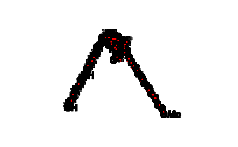 COCCOCCOCCOCCOCCOCCOCCOCCOCCOCCOCCOCCNS(=O)(=O)C1=CC2C(S1)c1cc3c(cc1=[N+](C)C2(C)C)Oc1cc2c(cc1C=3c1c(F)c(SCC(=O)ON3C(=O)CCC3=O)c(F)c(F)c1S(=O)(=O)[O-])C1SC(S(=O)(=O)COCCOCCOCCOCCOCCOCCNCCOCCOCCOCCOCCOCCO)=CC1C(C)(C)N2C